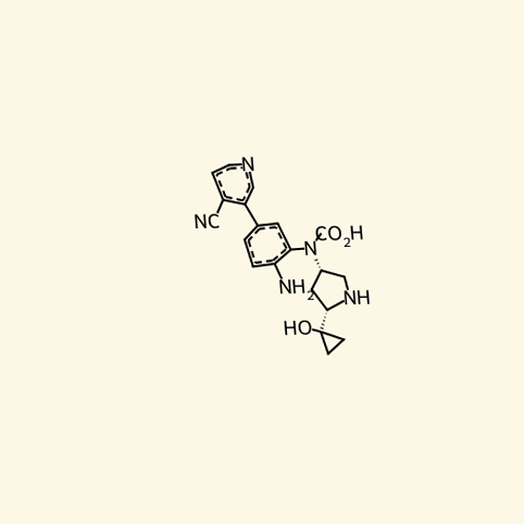 N#Cc1ccncc1-c1ccc(N)c(N(C(=O)O)[C@@H]2CN[C@H](C3(O)CC3)C2)c1